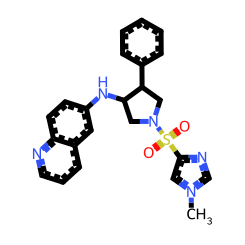 Cn1cnc(S(=O)(=O)N2CC(Nc3ccc4ncccc4c3)C(c3ccccc3)C2)c1